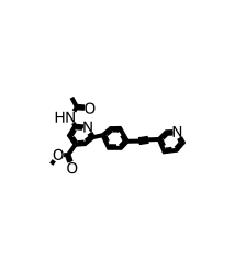 COC(=O)c1cc(NC(C)=O)nc(-c2ccc(C#Cc3cccnc3)cc2)c1